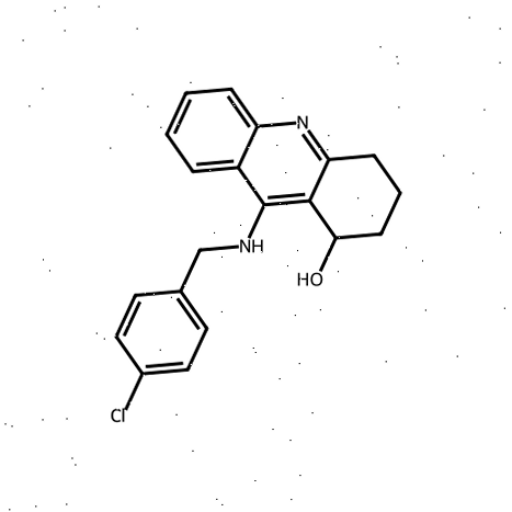 OC1CCCc2nc3ccccc3c(NCc3ccc(Cl)cc3)c21